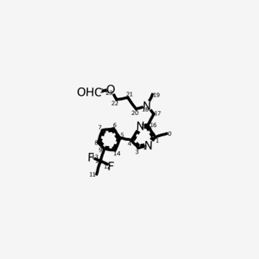 Cc1ncc(-c2cccc(C(C)(F)F)c2)nc1CN(C)CCCOC=O